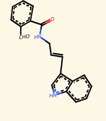 O=Cc1ccccc1C(=O)NC/C=C/c1c[nH]c2ccccc12